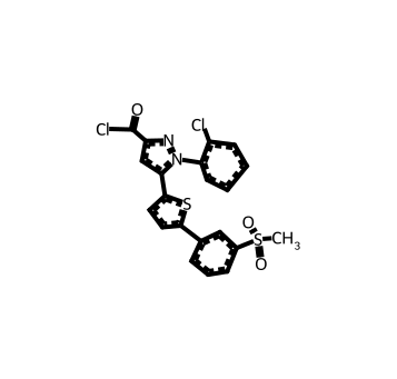 CS(=O)(=O)c1cccc(-c2ccc(-c3cc(C(=O)Cl)nn3-c3ccccc3Cl)s2)c1